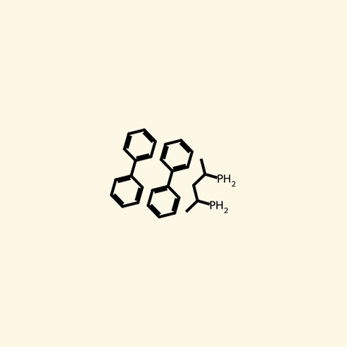 CC(P)CC(C)P.c1ccc(-c2ccccc2)cc1.c1ccc(-c2ccccc2)cc1